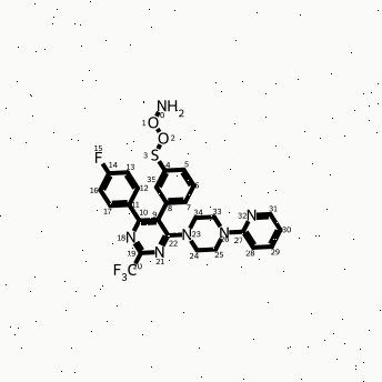 NOOSc1cccc(-c2c(-c3ccc(F)cc3)nc(C(F)(F)F)nc2N2CCN(c3ccccn3)CC2)c1